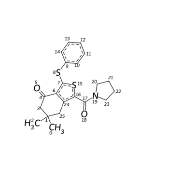 CC1(C)CC(=O)c2c(Sc3ccccc3)sc(C(=O)N3CCCC3)c2C1